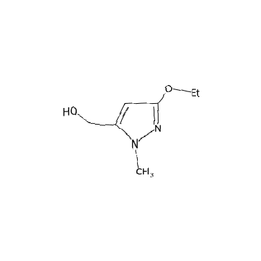 CCOc1cc(CO)n(C)n1